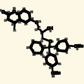 COc1ccc(C(OCC(O)COc2ccc3oc(=O)cc(C)c3c2)(c2ccccc2)c2ccc(OC)cc2)cc1